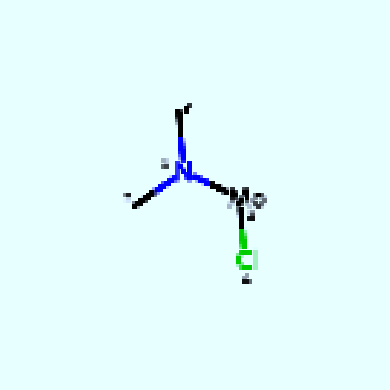 C[N](C)[Mo][Cl]